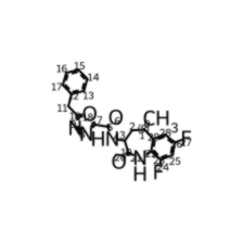 C[C@H]1CC(NC(=O)c2nnc(Cc3ccccc3)o2)C(=O)Nc2c(F)cc(F)cc21